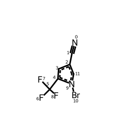 N#Cc1cc(C(F)(F)F)n(Br)c1